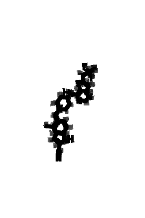 Cc1c(CN2CCC(Nc3ncnc4cc(CC(F)(F)F)sc34)CC2)ccc2[nH]c(C#N)cc12